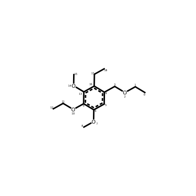 CCOCc1cc(OC)c(OCC)c(OC)c1CC